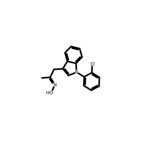 CC(Cc1cn(-c2ccccc2Cl)c2ccccc12)=NO